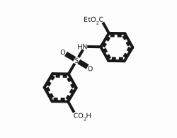 CCOC(=O)c1ccccc1NS(=O)(=O)c1cccc(C(=O)O)c1